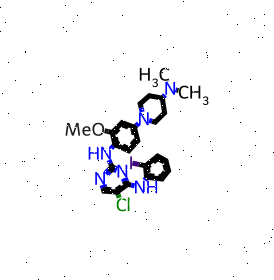 COc1cc(N2CCC(N(C)C)CC2)ccc1Nc1ncc(Cl)c(Nc2ccccc2I)n1